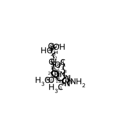 CCCCNc1nc(N)nc(C)c1Cc1ccc(CC(=O)OCCCP(=O)(O)O)cc1OC